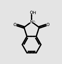 O=C1c2ccccc2C(=O)[N+]1O